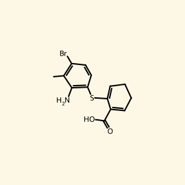 Cc1c(Br)ccc(SC2=CCCC=C2C(=O)O)c1N